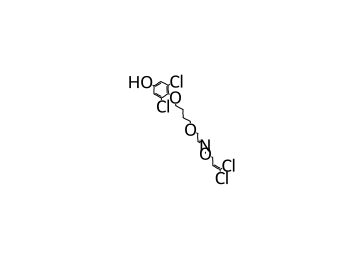 Oc1cc(Cl)c(OCCCCOCC=NOCC=C(Cl)Cl)c(Cl)c1